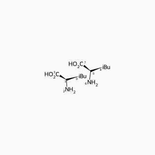 CC[C@H](C)[C@@H](N)C(=O)O.CC[C@H](C)[C@@H](N)C(=O)O